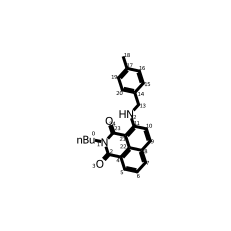 CCCCN1C(=O)c2cccc3ccc(NCc4ccc(C)cc4)c(c23)C1=O